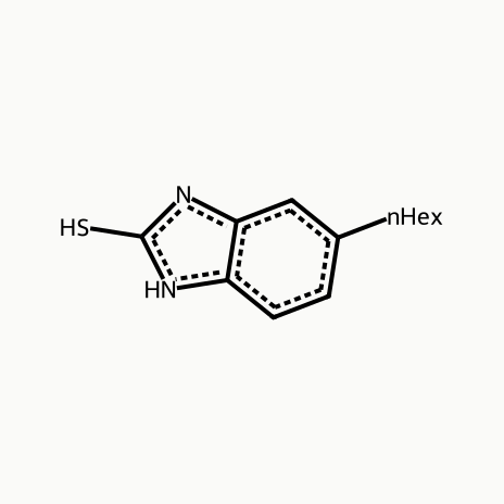 CCCCCCc1ccc2[nH]c(S)nc2c1